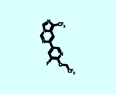 Fc1cc(-c2cc3c(C(F)(F)F)ncn3cn2)cnc1OCC(F)(F)F